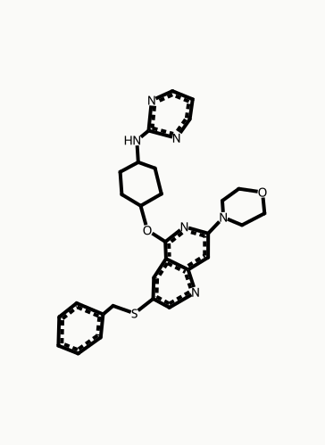 c1ccc(CSc2cnc3cc(N4CCOCC4)nc(OC4CCC(Nc5ncccn5)CC4)c3c2)cc1